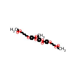 C=CC(=O)OCCCCCCOc1ccc(C(=O)Oc2ccc(OC(=O)c3ccc(OCCCCOC(=O)C=C)cc3)cc2CC)cc1